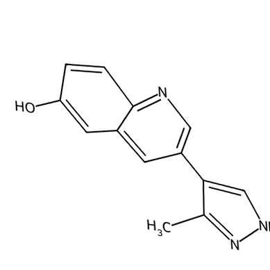 Cc1n[nH]cc1-c1cnc2ccc(O)cc2c1